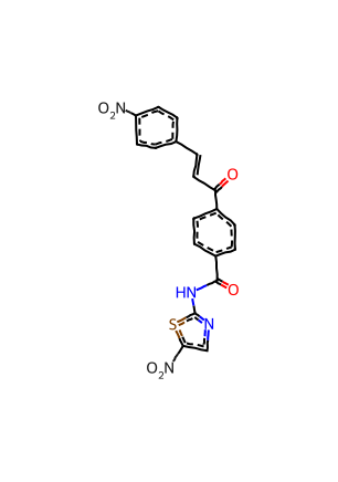 O=C(/C=C/c1ccc([N+](=O)[O-])cc1)c1ccc(C(=O)Nc2ncc([N+](=O)[O-])s2)cc1